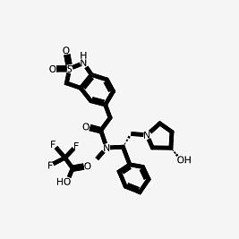 CN(C(=O)Cc1ccc2c(c1)CS(=O)(=O)N2)[C@H](CN1CC[C@H](O)C1)c1ccccc1.O=C(O)C(F)(F)F